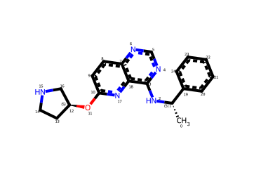 C[C@H](Nc1ncnc2ccc(O[C@H]3CCNC3)nc12)c1ccccc1